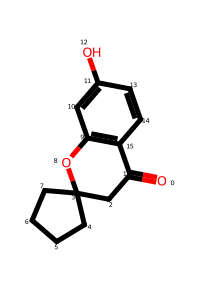 O=C1CC2(CCCC2)Oc2cc(O)ccc21